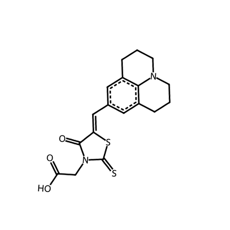 O=C(O)CN1C(=O)/C(=C/c2cc3c4c(c2)CCCN4CCC3)SC1=S